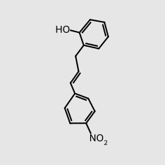 O=[N+]([O-])c1ccc(/C=C/Cc2ccccc2O)cc1